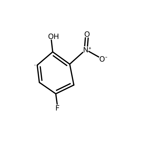 O=[N+]([O-])c1cc(F)c[c]c1O